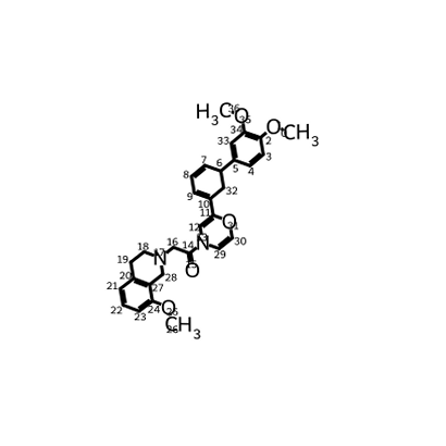 COc1ccc(C2C=CC=C(C3=CN(C(=O)CN4CCc5cccc(OC)c5C4)C=CO3)C2)cc1OC